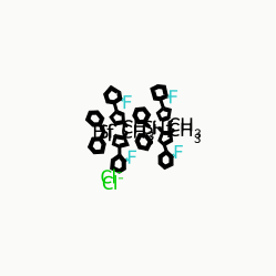 CC1=[C]([Hf]([C]2=C(C)C=C(c3ccccc3F)C2)=[Si](c2ccccc2)c2ccccc2)CC(c2ccccc2F)=C1.CC1=[C]([Hf]([C]2=C(C)C=C(c3ccccc3F)C2)=[Si](c2ccccc2)c2ccccc2)CC(c2ccccc2F)=C1.[Cl-].[Cl-]